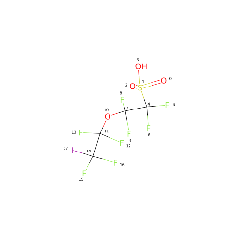 O=S(=O)(O)C(F)(F)C(F)(F)OC(F)(F)C(F)(F)I